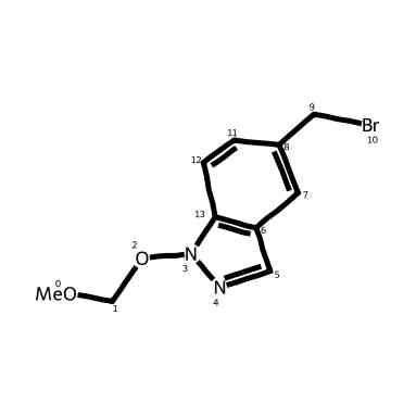 COCOn1ncc2cc(CBr)ccc21